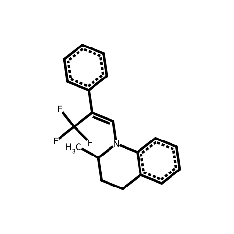 CC1CCc2ccccc2N1/C=C(/c1ccccc1)C(F)(F)F